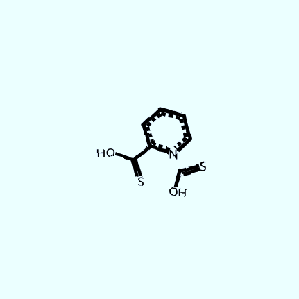 OC(=S)c1ccccn1.OC=S